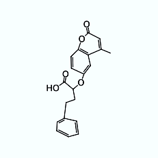 Cc1cc(=O)oc2ccc(OC(CCc3ccccc3)C(=O)O)cc12